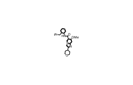 COc1cc2nc(C3CCOCC3)cn2cc1C(=O)Nc1ccccc1CC(C)C